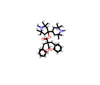 CN1C(C)(C)CC(C2(OC(=O)C(Cc3ccccc3)(Cc3ccccc3)C(=O)O)CC(C)(C)N(C)C(C)(C)C2)CC1(C)C